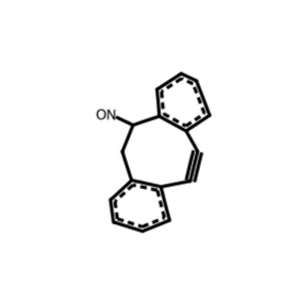 O=NC1Cc2ccccc2C#Cc2ccccc21